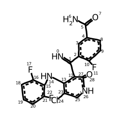 N=C(c1cc(C(N)=O)ccc1F)c1c(Nc2c(F)cccc2F)c(Cl)c[nH]c1=O